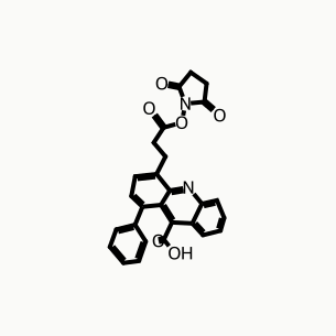 O=C(CCc1ccc(-c2ccccc2)c2c(C(=O)O)c3ccccc3nc12)ON1C(=O)CCC1=O